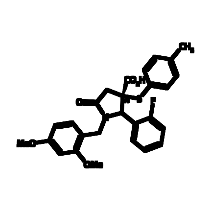 COc1ccc(CN2C(=O)C[C@](Sc3ccc(C)cc3)(C(=O)O)C2c2ccccc2F)c(OC)c1